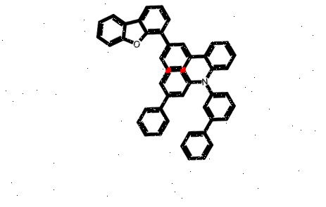 c1ccc(-c2cccc(N(c3cccc(-c4ccccc4)c3)c3ccccc3-c3cccc(-c4cccc5c4oc4ccccc45)c3)c2)cc1